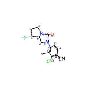 Cc1c(N2CC3[C@H](F)CCN3C2=O)ccc(C#N)c1Cl